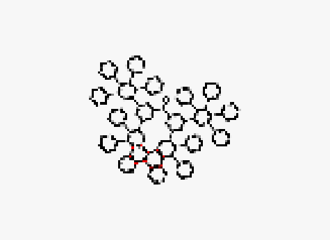 O=C(c1cc(-c2cc(-c3ccccc3)c(-c3ccccc3)c(-c3ccccc3)c2-c2ccccc2)cc(-c2cc(-c3ccccc3)c(-c3ccccc3)c(-c3ccccc3)c2-c2ccccc2)c1)c1cc(-c2cc(-c3ccccc3)c(-c3ccccc3)c(-c3ccccc3)c2-c2ccccc2)cc(-c2cc(-c3ccccc3)c(-c3ccccc3)c(-c3ccccc3)c2-c2ccccc2)c1